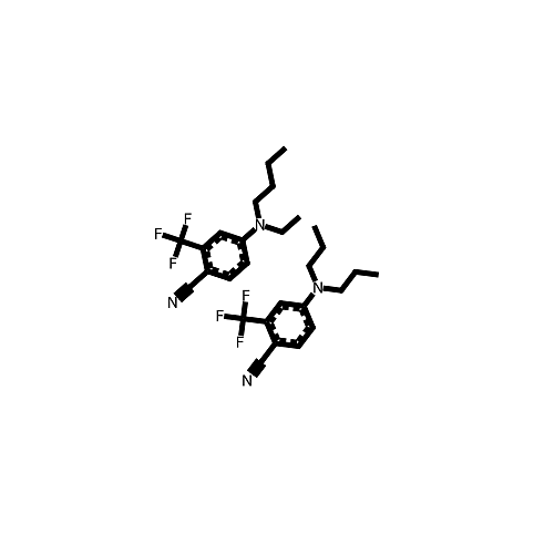 CCCCN(CC)c1ccc(C#N)c(C(F)(F)F)c1.CCCN(CCC)c1ccc(C#N)c(C(F)(F)F)c1